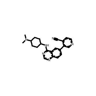 CN(C)C1CCC(Nc2ncnc3ccc(-c4cnccc4C#N)cc23)CC1